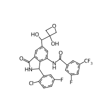 O=C(Nc1cc(C(O)C2(O)COC2)cc2c1C(c1cc(F)ccc1Cl)NC2=O)c1cc(F)cc(C(F)(F)F)c1